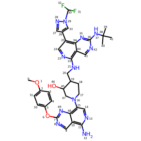 COc1ccc(Oc2ncc3c(N)ncc(N4CCC(CNc5ncc(-c6cnn(C(F)F)c6)c6nc(NC(C)(C)C)ncc56)C(O)C4)c3n2)cc1